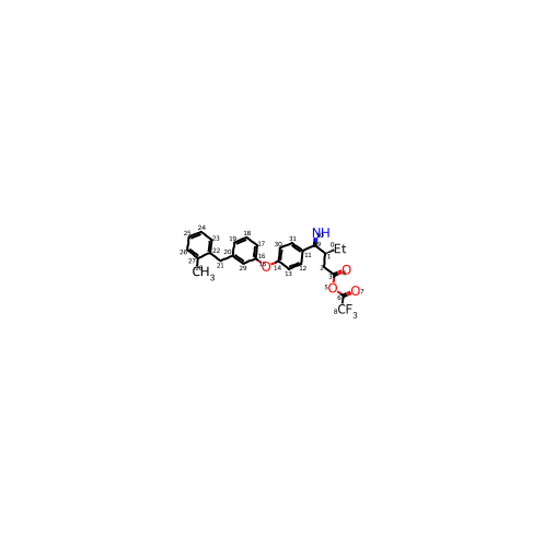 CC[C@@H](CC(=O)OC(=O)C(F)(F)F)C(=N)c1ccc(Oc2cccc(Cc3ccccc3C)c2)cc1